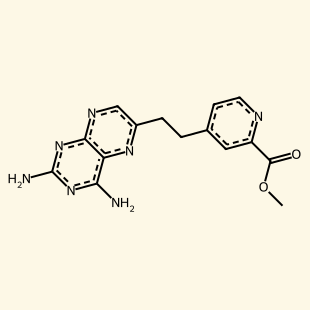 COC(=O)c1cc(CCc2cnc3nc(N)nc(N)c3n2)ccn1